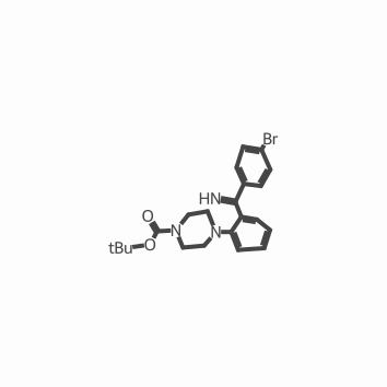 CC(C)(C)OC(=O)N1CCN(c2ccccc2C(=N)c2ccc(Br)cc2)CC1